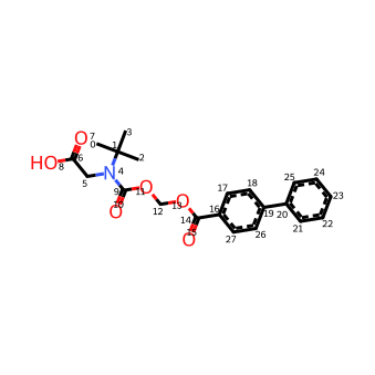 CC(C)(C)N(CC(=O)O)C(=O)OCOC(=O)c1ccc(-c2ccccc2)cc1